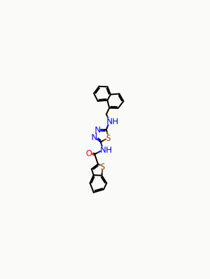 O=C(Nc1nnc(NCc2cccc3ccccc23)s1)c1cc2ccccc2s1